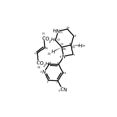 N#Cc1cncc(N2C[C@@H]3CCNC[C@@H]32)c1.O=C(O)C=CC(=O)O